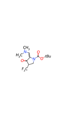 CN(C)C=C1C(=O)C(C(F)(F)F)CN1C(=O)OC(C)(C)C